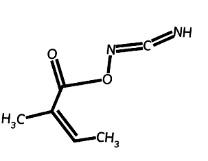 CC=C(C)C(=O)ON=C=N